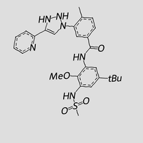 COc1c(NC(=O)c2ccc(C)c(N3C=C(c4ccccn4)NN3)c2)cc(C(C)(C)C)cc1NS(C)(=O)=O